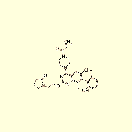 C=CC(=O)N1CCN(c2nc(OCCN3CCCC3=O)nc3c(F)c(-c4c(O)cccc4F)c(Cl)cc23)CC1